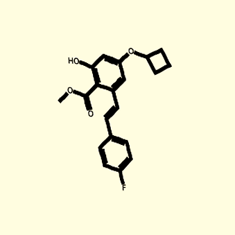 COC(=O)c1c(O)cc(OC2CCC2)cc1C=Cc1ccc(F)cc1